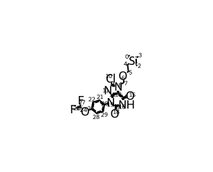 C[Si](C)(C)CCOCn1c(Cl)nc2c1c(=O)[nH]c(=O)n2-c1ccc(OC(F)F)cc1